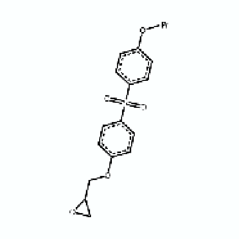 CC(C)Oc1ccc(S(=O)(=O)c2ccc(OCC3CO3)cc2)cc1